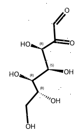 O=[C]C(=O)[C@H](O)[C@@H](O)[C@H](O)[C@H](O)CO